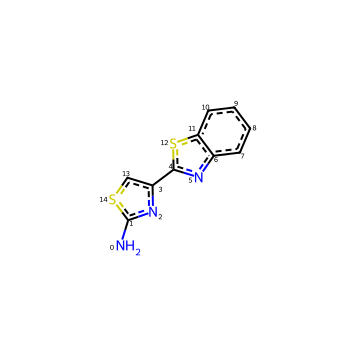 Nc1nc(-c2nc3ccccc3s2)cs1